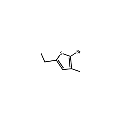 CCc1cc(C)c(Br)s1